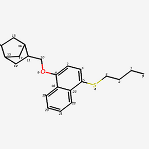 CCCCSc1ccc(OCC2CC3CCC2C3)c2ccccc12